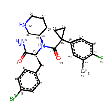 NC(=O)[C@H](Cc1ccc(Br)cc1)N(C(=O)C1(c2ccc(F)c(C(F)(F)F)c2)CC1)[C@@H]1CCCNC1